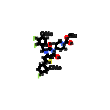 COc1cc(F)ccc1-c1cc2c(s1)c(=O)n(C1CCN(C(=O)OC(C)(C)C)CC1)c(=O)n2Cc1ccc(OC)c(F)c1F